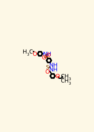 CCOc1ccc(NS(=O)(=O)c2ccc(NC(=S)NC(=O)c3cccc(OCC(C)C)c3)cc2)cc1